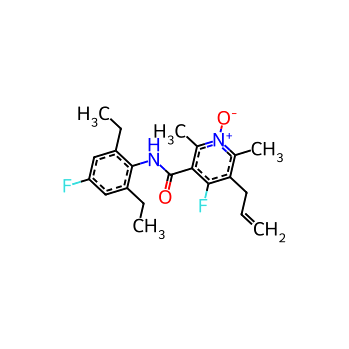 C=CCc1c(F)c(C(=O)Nc2c(CC)cc(F)cc2CC)c(C)[n+]([O-])c1C